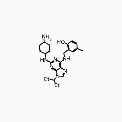 CCC(CC)n1cnc2c(NCc3cc(C)ccc3O)nc(NC3CCC(N)CC3)nc21